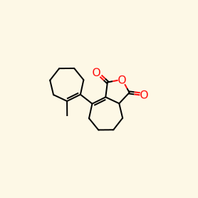 CC1=C(C2=C3C(=O)OC(=O)C3CCCC2)CCCCC1